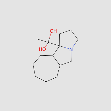 CC(O)(O)C12CCCN1CC1CCCCCC12